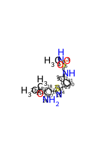 CNS(=O)(=O)CCNC1CCc2c(-c3cnc(C4=CC=C(OC(C)C)C(N)C4)s3)cccc21